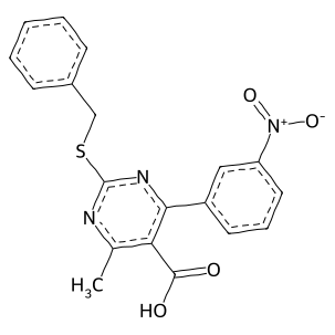 Cc1nc(SCc2ccccc2)nc(-c2cccc([N+](=O)[O-])c2)c1C(=O)O